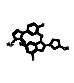 Cn1ccn(-c2ccc(F)c(O[C@H]3c4cc(F)cc(F)c4C[C@H]3N3CC[C@@H](O)C3)c2)c1=O